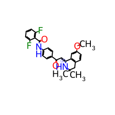 COc1ccc2c(c1)/C(=C/C(=O)c1ccc(NC(=O)c3c(F)cccc3F)cc1)NC(C)(C)C2